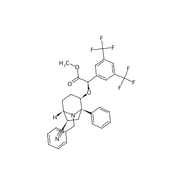 COC(=O)[C@H](O[C@@H]1CC[C@H]2[C@H](C#N)C[C@]1(c1ccccc1)N2Cc1ccccc1)c1cc(C(F)(F)F)cc(C(F)(F)F)c1